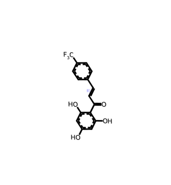 O=C(/C=C/c1ccc(C(F)(F)F)cc1)c1c(O)cc(O)cc1O